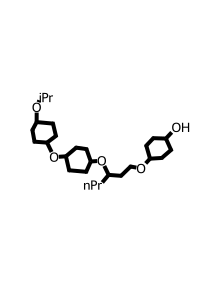 CCCC(CCOC1CCC(O)CC1)OC1CCC(OC2CCC(OC(C)C)CC2)CC1